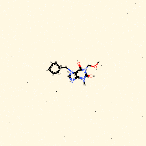 COCn1c(=O)c2c(ncn2Cc2ccccc2)n(C)c1=O